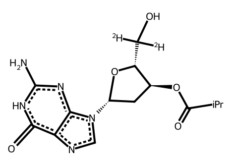 [2H]C([2H])(O)[C@H]1O[C@@H](n2cnc3c(=O)[nH]c(N)nc32)C[C@@H]1OC(=O)C(C)C